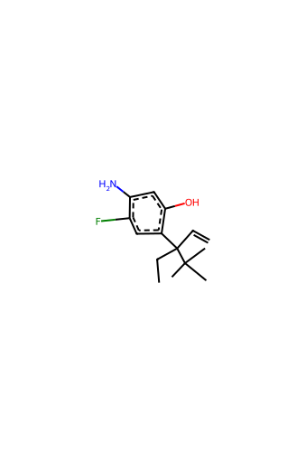 C=CC(CC)(c1cc(F)c(N)cc1O)C(C)(C)C